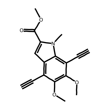 C#Cc1c(OC)c(OC)c(C#C)c2c1cc(C(=O)OC)n2C